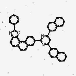 c1ccc(-c2nc3ccc4ccc5cc(-c6nc(-c7ccc8ccccc8c7)cc(-c7ccc8ccccc8c7)n6)ccc5c4c3o2)cc1